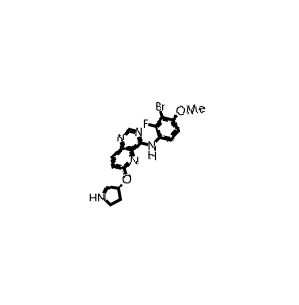 COc1ccc(Nc2ncnc3ccc(O[C@H]4CCNC4)nc23)c(F)c1Br